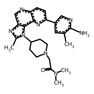 Cc1cc(-c2ccc3ncc4nc(C)n(C5CCN(CC(=O)N(C)C)CC5)c4c3n2)cnc1N